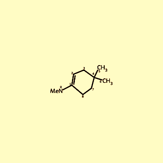 CNC1=CCC(C)(C)CC1